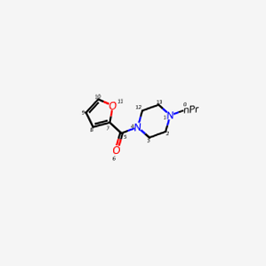 CCCN1CCN(C(=O)c2ccco2)CC1